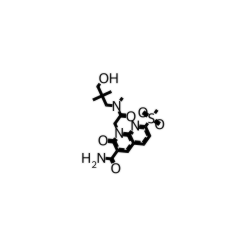 CN(CC(C)(C)CO)C(=O)Cn1c(=O)c(C(N)=O)cc2ccc(S(C)(=O)=O)nc21